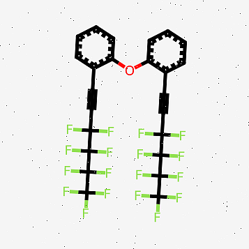 FC(F)(F)C(F)(F)C(F)(F)C(F)(F)C#Cc1ccccc1Oc1ccccc1C#CC(F)(F)C(F)(F)C(F)(F)C(F)(F)F